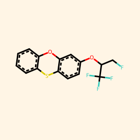 FCC(Oc1ccc2c(c1)Oc1ccccc1S2)C(F)(F)F